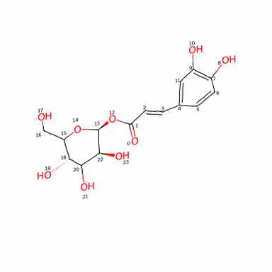 O=C(/C=C/c1ccc(O)c(O)c1)O[C@@H]1OC(CO)[C@@H](O)C(O)[C@@H]1O